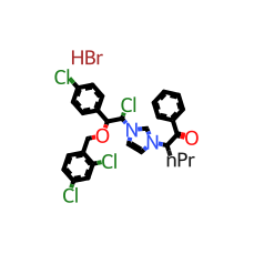 Br.CCCC(C(=O)c1ccccc1)N1C=CN(C(Cl)C(OCc2ccc(Cl)cc2Cl)c2ccc(Cl)cc2)C1